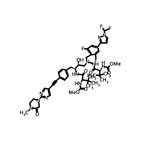 COC(=O)NC(C(=O)N[C@@H](Cc1ccc(C#Cc2cnc(N3CCN(C)C(=O)C3)nc2)cc1)[C@@H](O)CN(Cc1c(F)cc(-c2ccn(C(F)F)n2)cc1F)NC(=O)[C@@H](NC(=O)OC)C(C)(C)C(F)(F)F)C(C)(C)C(F)(F)F